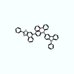 c1ccc(-c2nc3c(cc(-c4ccc(N(c5ccc6c(c5)c5ccccc5n6-c5ccccc5)c5ccccc5-c5ccccc5)cc4)c4ccccc43)o2)cc1